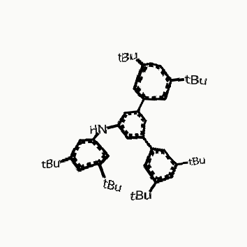 CC(C)(C)c1cc(Nc2cc(-c3cc(C(C)(C)C)cc(C(C)(C)C)c3)cc(-c3cc(C(C)(C)C)cc(C(C)(C)C)c3)c2)cc(C(C)(C)C)c1